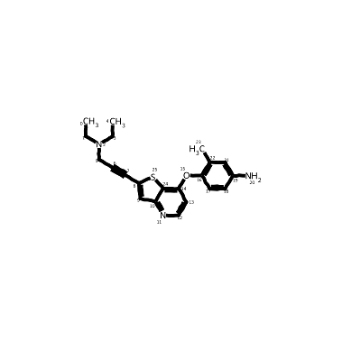 CCN(CC)CC#Cc1cc2nccc(Oc3ccc(N)cc3C)c2s1